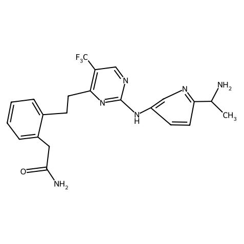 CC(N)c1ccc(Nc2ncc(C(F)(F)F)c(CCc3ccccc3CC(N)=O)n2)cn1